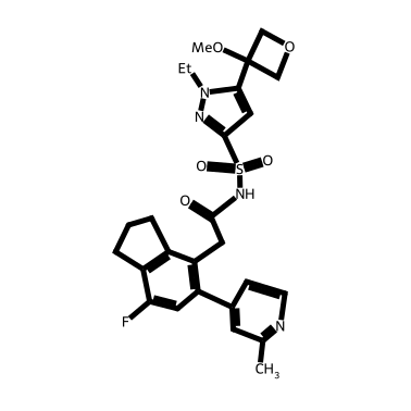 CCn1nc(S(=O)(=O)NC(=O)Cc2c(-c3ccnc(C)c3)cc(F)c3c2CCC3)cc1C1(OC)COC1